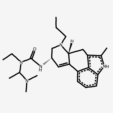 CCCN1C[C@@H](NC(=O)N(CC)C(C)N(C)C)C=C2c3cccc4[nH]c(C)c(c34)C[C@H]21